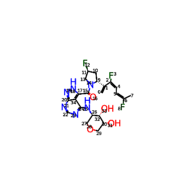 C=C(/C(F)=C\C=C(/C)F)[C@H]1C[C@H](F)CN1C(=O)c1[nH]nc2ncnc(N[C@@H]3COC[C@@H](O)[C@H]3O)c12